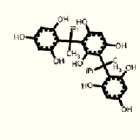 CC(C)C(C)(c1c(O)cc(O)cc1O)c1c(O)cc(O)c(C(C)(c2c(O)cc(O)cc2O)C(C)C)c1O